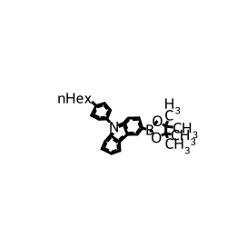 CCCCCCc1ccc(-n2c3ccccc3c3cc(B4OC(C)(C)C(C)(C)O4)ccc32)cc1